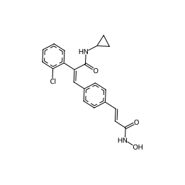 O=C(/C=C/c1ccc(C=C(C(=O)NC2CC2)c2ccccc2Cl)cc1)NO